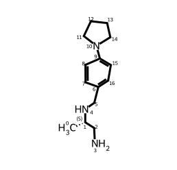 C[C@@H](CN)NCc1ccc(N2CCCC2)cc1